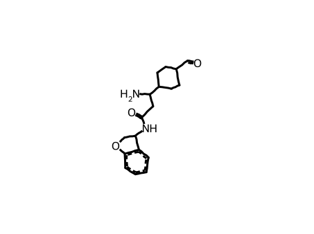 NC(CC(=O)NC1COc2ccccc21)C1CCC(C=O)CC1